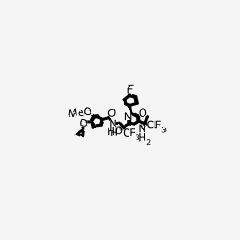 COc1cc(C(=O)NC[C@](O)(c2cc3c(c(-c4ccc(F)cc4)n2)OC[C@@]3(N)C(F)(F)F)C(F)(F)F)ccc1OC1CC1